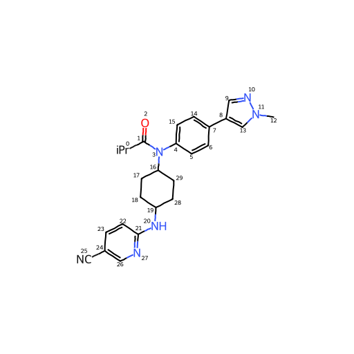 CC(C)C(=O)N(c1ccc(-c2cnn(C)c2)cc1)C1CCC(Nc2ccc(C#N)cn2)CC1